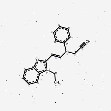 C#CCN(/C=C/c1oc2ccccc2[n+]1CC)c1ccccc1